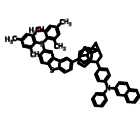 Cc1cc(C)c(B(c2ccc3sc4ccc(-c5ccc(C67CC(c8ccc(N(c9ccccc9)c9ccc%10ccccc%10c9)cc8)C8CCC9CC6(C7)C98)cc5)cc4c3c2)c2c(C)cc(C)cc2C)c(C)c1